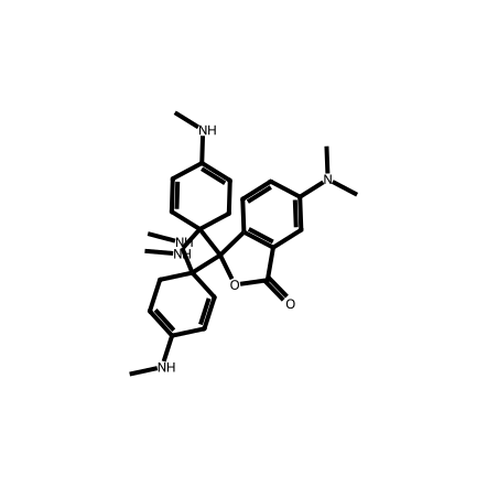 CNC1=CCC(NC)(C2(C3(NC)C=CC(NC)=CC3)OC(=O)c3cc(N(C)C)ccc32)C=C1